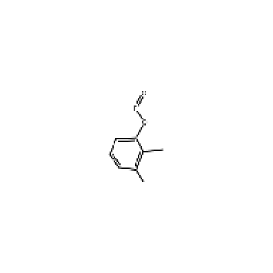 Cc1cccc(OP=O)c1C